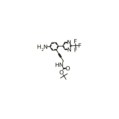 CC(C)(C)OC(=O)NCC#Cc1cc(N)ccc1-c1cnc(C(F)(F)F)nc1